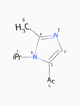 CC(=O)c1cnc(C)n1C(C)C